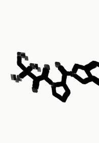 CCC(C)(C)C(=O)C(=O)N1CCCC1C(=O)N1Cc2ccccc2C1